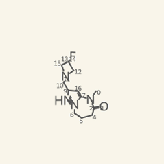 CN1C(=O)CCCN2NC(CN3CC(F)C3)C=C21